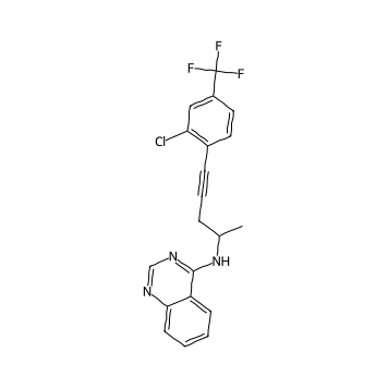 CC(CC#Cc1ccc(C(F)(F)F)cc1Cl)Nc1ncnc2ccccc12